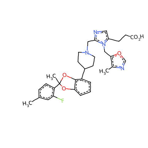 Cc1ccc(C2(C)Oc3cccc(C4CCN(Cc5ncc(CCC(=O)O)n5Cc5ocnc5C)CC4)c3O2)c(F)c1